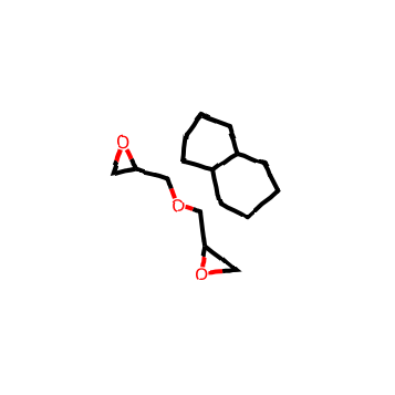 C(OCC1CO1)C1CO1.C1CCC2CCCCC2C1